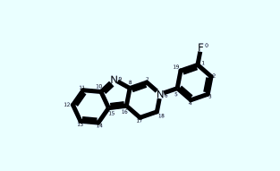 Fc1cccc(N2C=C3N=c4ccccc4=C3CC2)c1